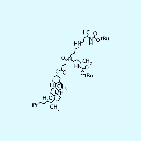 CC(C)CCC[C@@H](C)[C@H]1CC[C@H]2[C@@H]3CC=C4C[C@@H](OC(=O)CCC(=O)N(CCCCNCCC(C)NC(=O)OC(C)(C)C)CCC(C)NC(=O)OC(C)(C)C)CC[C@]4(C)[C@H]3CC[C@]12C